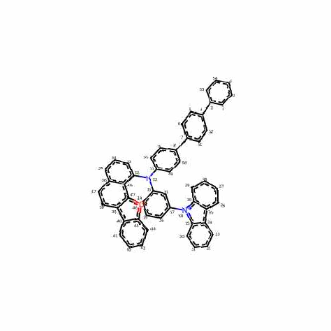 c1ccc(-c2ccc(-c3ccc(N(c4cccc(-n5c6ccccc6c6ccccc65)c4)c4cccc5ccc6c7ccccc7oc6c45)cc3)cc2)cc1